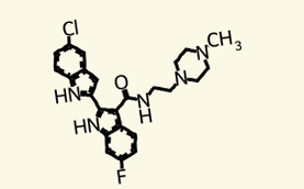 CN1CCN(CCNC(=O)c2c(-c3cc4cc(Cl)ccc4[nH]3)[nH]c3cc(F)ccc23)CC1